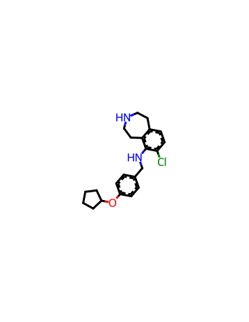 Clc1ccc2c(c1NCc1ccc(OC3CCCC3)cc1)CCNCC2